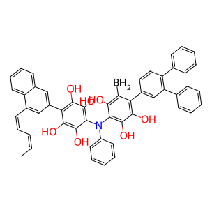 Bc1c(O)c(N(c2ccccc2)c2c(O)c(O)c(-c3cc(/C=C\C=C/C)c4ccccc4c3)c(O)c2O)c(O)c(O)c1-c1ccc(-c2ccccc2)c(-c2ccccc2)c1